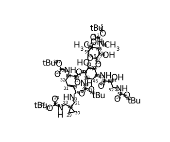 CN(C(=O)OC(C)(C)C)[C@@H]1[C@@H](O)[C@@H](O[C@@H]2[C@@H](O)[C@H](O[C@H]3OC(CNCC4(CNC(=O)OC(C)(C)C)CC4)=CC[C@H]3NC(=O)OC(C)(C)C)[C@@H](NC(=O)OC(C)(C)C)C[C@H]2NC(=O)[C@@H](O)CNC(=O)OC(C)(C)C)OC[C@]1(C)O